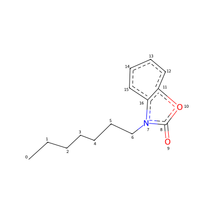 CCCCCCCn1c(=O)oc2ccccc21